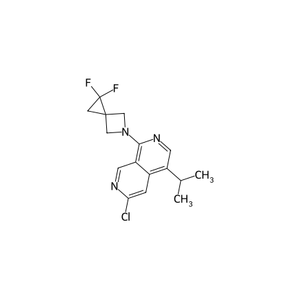 CC(C)c1cnc(N2CC3(C2)CC3(F)F)c2cnc(Cl)cc12